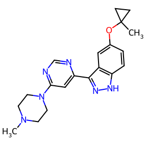 CN1CCN(c2cc(-c3n[nH]c4ccc(OC5(C)CC5)cc34)ncn2)CC1